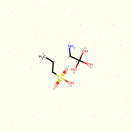 CCCS(=O)(=O)O.NCC(O)(O)O